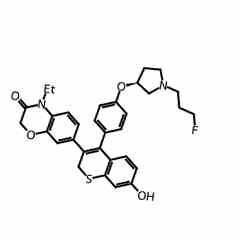 CCN1C(=O)COc2cc(C3=C(c4ccc(O[C@H]5CCN(CCCF)C5)cc4)c4ccc(O)cc4SC3)ccc21